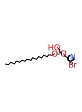 CCCCCCCCCCCCCCCCCCOC[C@H](CO)OCc1cncc(Br)c1